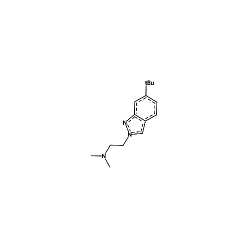 CN(C)CCn1cc2ccc(C(C)(C)C)cc2n1